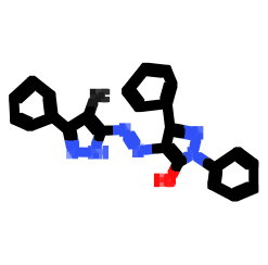 [C-]#[N+]c1c(-c2ccccc2)n[nH]c1/N=N/c1c(-c2ccccc2)nn(-c2ccccc2)c1O